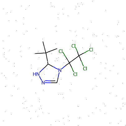 CC(C)(C)C1NN=CN1C(Cl)(Cl)C(Cl)(Cl)Cl